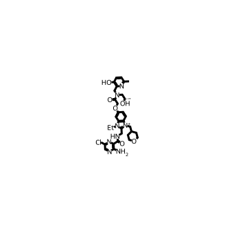 CCn1c(CNC(=O)c2nc(Cl)cnc2N)[n+](CC2CCOCC2)c2ccc(OCC(=O)N(Cc3nc(C)ccc3O)C[C@H](C)O)cc21